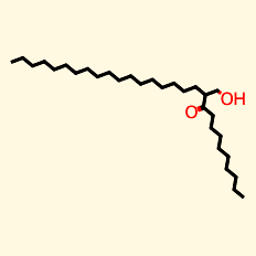 CCCCCCCCCCCCCCCCCCC(CO)C(=O)CCCCCCCCC